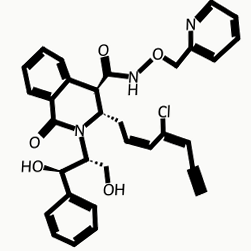 C#C/C=C(Cl)\C=C/C[C@H]1[C@H](C(=O)NOCc2ccccn2)c2ccccc2C(=O)N1[C@H](CO)[C@H](O)c1ccccc1